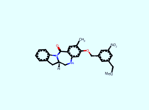 COCc1cc(COc2cc3c(cc2C)C(=O)N2c4ccccc4C[C@H]2CN3)cc([N+](=O)[O-])c1